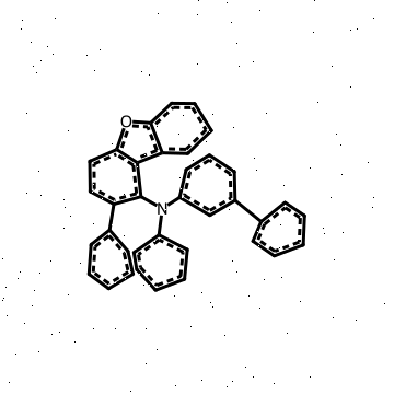 c1ccc(-c2cccc(N(c3ccccc3)c3c(-c4ccccc4)ccc4oc5ccccc5c34)c2)cc1